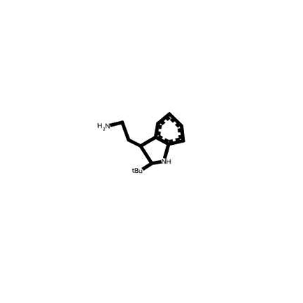 CC(C)(C)C1Nc2ccccc2C1CCN